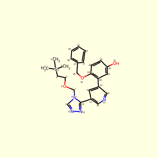 C[Si](C)(C)CCOCn1cnnc1-c1cncc(-c2cc(O)ccc2OCc2ccccc2)c1